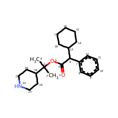 CC(C)(OC(=O)C(c1ccccc1)C1CCCCC1)C1CCNCC1